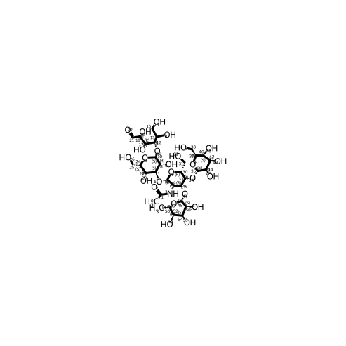 CC(=O)N[C@@H]1[C@H](O[C@@H]2[C@@H](O)[C@H](O[C@@H](C(O)CO)[C@H](O)[C@@H](O)C=O)O[C@@H](CO)[C@H]2O)O[C@H](CO)[C@H](O[C@@H]2O[C@@H](CO)[C@@H](O)[C@@H](O)[C@H]2O)[C@@H]1O[C@H]1O[C@H](C)[C@H](O)[C@H](O)[C@@H]1O